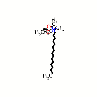 C=CC(=O)OC(C)[N+](C)(C)CCCCCCCCCCCCCCCC